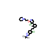 CCC(C)(CC)NCc1ccc(CCc2cccc(-c3ccnc(OCCCN4CCCCC4)c3Cl)c2C)c(Cl)c1